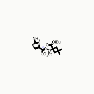 CCOC(=O)/C(=N\OC1(C(=O)OCC(C)C)CC(C)(C)C1)c1csc(N)n1